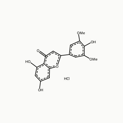 COc1cc(-c2cc(=O)c3c(O)cc(O)cc3o2)cc(OC)c1O.Cl